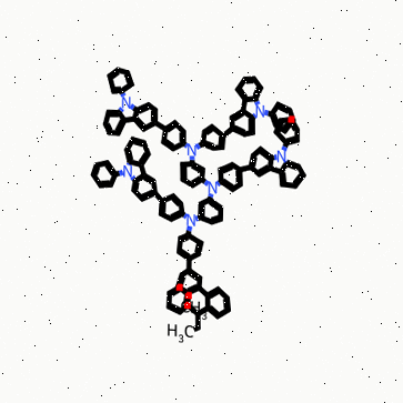 CCC(c1ccccc1)c1ccccc1-c1cc(-c2ccc(N(c3ccc(-c4ccc5c(c4)c4ccccc4n5-c4ccccc4)cc3)c3cccc(N(c4ccc(-c5ccc6c(c5)c5ccccc5n6-c5ccccc5)cc4)c4cccc(N(c5ccc(-c6ccc7c(c6)c6ccccc6n7-c6ccccc6)cc5)c5ccc(-c6ccc7c(c6)c6ccccc6n7-c6ccccc6)cc5)c4)c3)cc2)ccc1C